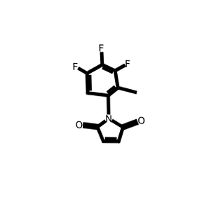 Cc1c(N2C(=O)C=CC2=O)cc(F)c(F)c1F